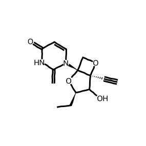 C#C[C@@]12OC[C@@]1(N1C=CC(=O)NC1=C)O[C@H](CC)C2O